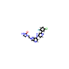 O=C1NCCN1CCn1cc2nccc(Nc3ccnc(-c4cc(Cl)ccc4F)c3)c2n1